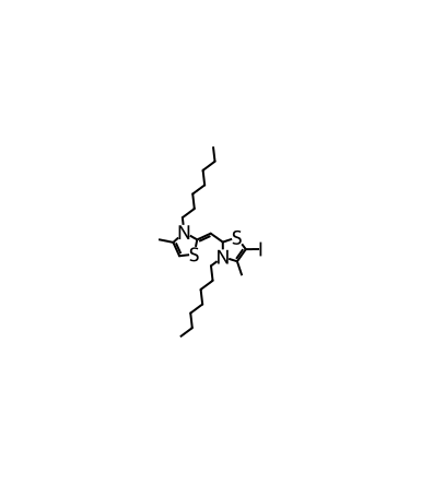 CCCCCCCN1C(C)=CSC1=CC1SC(I)=C(C)N1CCCCCCC